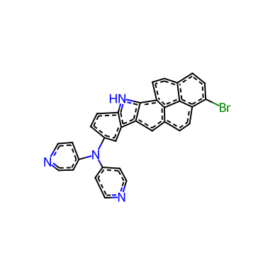 Brc1ccc2ccc3c4[nH]c5ccc(N(c6ccncc6)c6ccncc6)cc5c4cc4ccc1c2c43